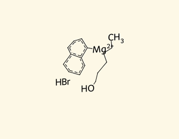 Br.CCCCCCO.[Mg+2][c]1cccc2ccccc12